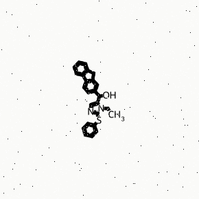 CCn1c(C(O)c2ccc3c(c2)Cc2ccccc2-3)cnc1Sc1ccccc1